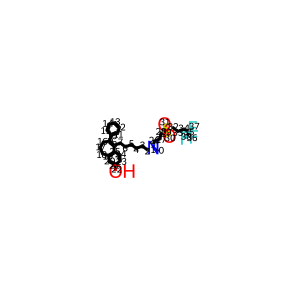 CN(CCCCCCC1=C(c2ccccc2)CCCc2cc(O)ccc21)CCCS(=O)(=O)CCCC(F)(F)F